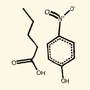 CCCCC(=O)O.O=[N+]([O-])c1ccc(O)cc1